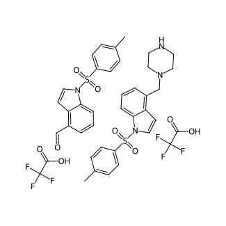 Cc1ccc(S(=O)(=O)n2ccc3c(C=O)cccc32)cc1.Cc1ccc(S(=O)(=O)n2ccc3c(CN4CCNCC4)cccc32)cc1.O=C(O)C(F)(F)F.O=C(O)C(F)(F)F